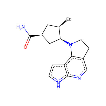 CC[C@@H]1C[C@H](C(N)=O)C[C@@H]1N1CCc2cnc3[nH]ccc3c21